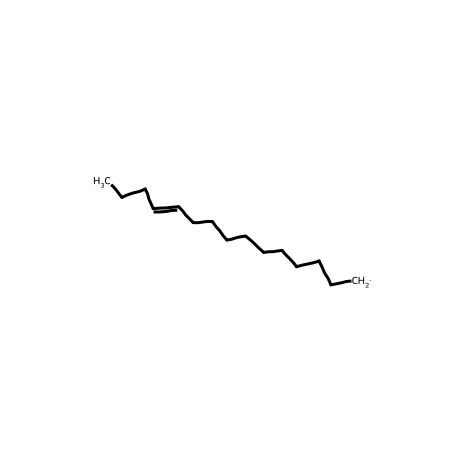 [CH2]CCCCCCCCCC=CCCC